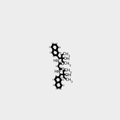 CCC(O)(CC)[C@H](NC(=O)CC(=O)N[C@H](c1ccc2ccccc2c1)C(O)(CC)CC)c1ccc2ccccc2c1